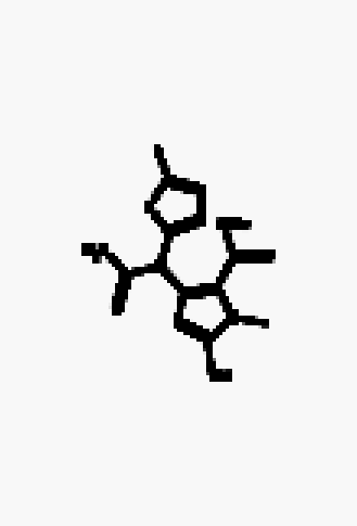 COC(=O)c1c(N(C(N)=O)c2ccc(C)s2)cc(C(C)(C)C)n1C